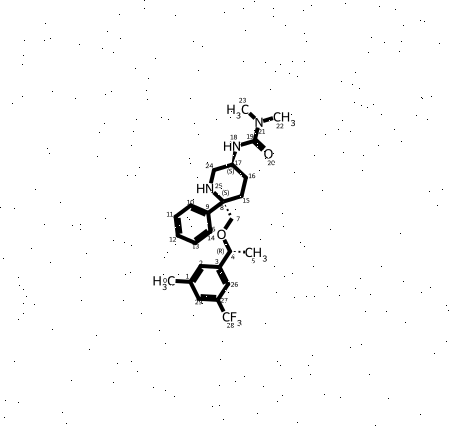 Cc1cc([C@@H](C)OC[C@@]2(c3ccccc3)CC[C@H](NC(=O)N(C)C)CN2)cc(C(F)(F)F)c1